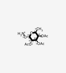 CC(=O)O[C@H]1[C@H](OC(C)=O)[C@H](ON)O[C@@H](C)[C@H]1OC(C)=O